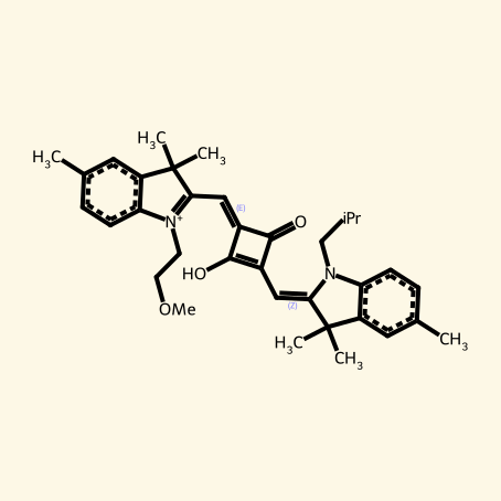 COCC[N+]1=C(/C=C2/C(=O)C(/C=C3\N(CC(C)C)c4ccc(C)cc4C3(C)C)=C2O)C(C)(C)c2cc(C)ccc21